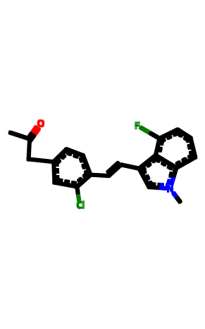 CC(=O)Cc1ccc(/C=C/c2cn(C)c3cccc(F)c23)c(Cl)c1